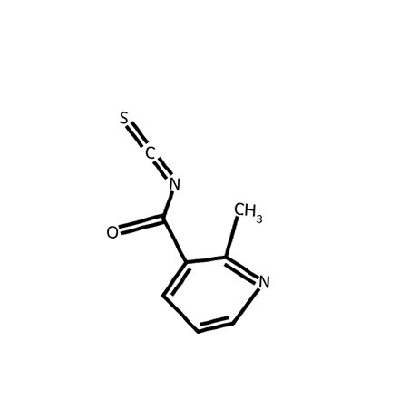 Cc1ncccc1C(=O)N=C=S